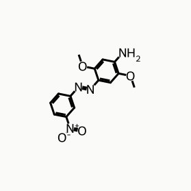 COc1cc(N=Nc2cccc([N+](=O)[O-])c2)c(OC)cc1N